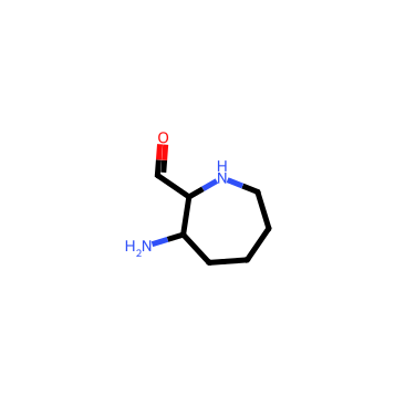 NC1CCCCNC1C=O